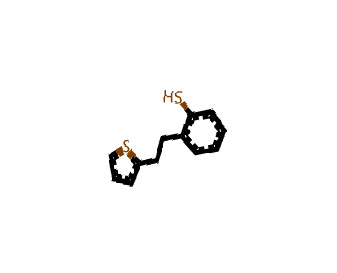 Sc1ccccc1CCc1cccs1